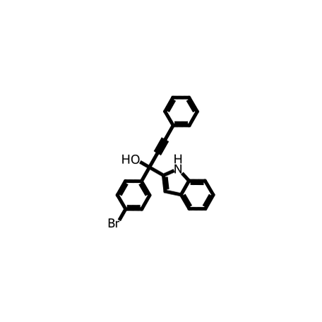 OC(C#Cc1ccccc1)(c1ccc(Br)cc1)c1cc2ccccc2[nH]1